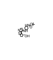 CC(C)(C)OC(=O)N[C@H]1CC[C@H](Nc2ncnc3sc4c(c23)[C@@H](CO)CC4)CC1